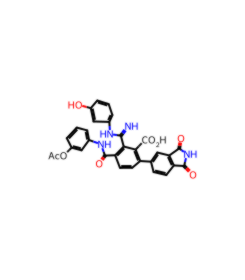 CC(=O)Oc1cccc(NC(=O)c2ccc(-c3ccc4c(c3)C(=O)NC4=O)c(C(=O)O)c2C(=N)Nc2cccc(O)c2)c1